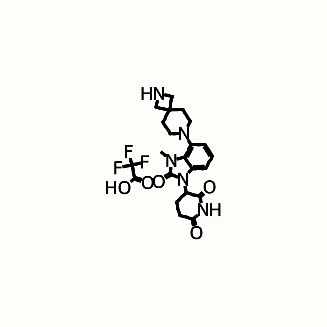 Cn1c(=O)n(C2CCC(=O)NC2=O)c2cccc(N3CCC4(CC3)CNC4)c21.O=C(O)C(F)(F)F